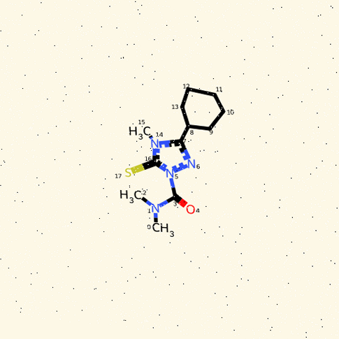 CN(C)C(=O)n1nc(C2CCCCC2)n(C)c1=S